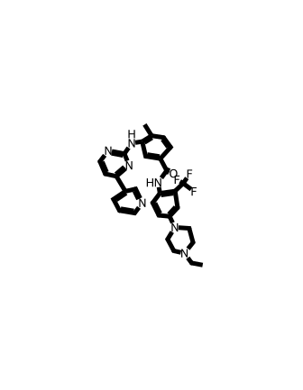 CCN1CCN(c2ccc(NC(=O)c3ccc(C)c(Nc4nccc(-c5cccnc5)n4)c3)c(C(F)(F)F)c2)CC1